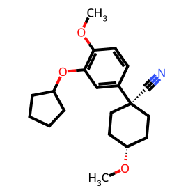 COc1ccc([C@]2(C#N)CC[C@@H](OC)CC2)cc1OC1CCCC1